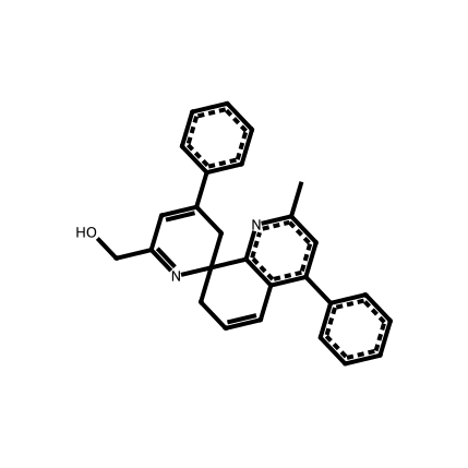 Cc1cc(-c2ccccc2)c2c(n1)C1(CC=C2)CC(c2ccccc2)=CC(CO)=N1